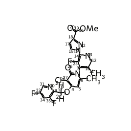 [2H]C([2H])(Oc1cc(C)n(-c2c(C)cnc(-n3ccc(C(=O)OC)n3)c2F)c(=O)c1Cl)c1ncc(F)cc1F